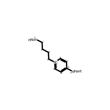 CCCCCCCCCCCCC[n+]1ccc(CCCCC)cc1